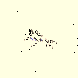 C=C=CC(=C\C=C(C)C)/C(C=C)=C/N=C(C)C